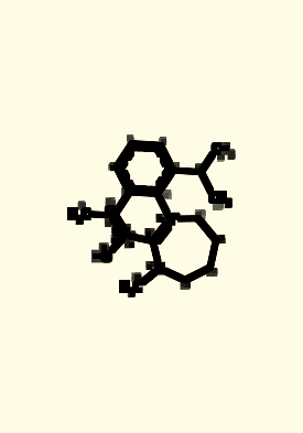 CC(C)c1cccc(C(C)C)c1[N+]1=C(C(=O)O)N(C)CCCC1